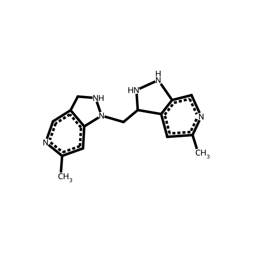 Cc1cc2c(cn1)NNC2CN1NCc2cnc(C)cc21